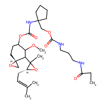 CCC(=O)NCCCNC(=O)OCC1(NC(=O)OC2CC[C@]3(CO3)C(C3(C)O[C@@H]3CC=C(C)C)C2OC)CCCC1